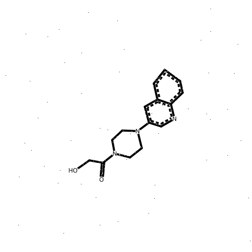 O=C(CO)N1CCN(c2cnc3ccccc3c2)CC1